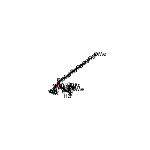 COCCOCCOCCOCCOCCOCCOCCOCCOCCOCCOCCOCCC(=O)N1CC(CNC(=O)OCC2c3ccccc3-c3ccccc32)(OCC(=O)NCCC(=O)NCc2cc(CO)ccc2O[C@@H]2O[C@H](C(=O)OC)[C@@H](OC(C)=O)[C@H](OC(C)=O)[C@H]2OC(C)=O)C1